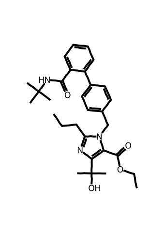 CCCc1nc(C(C)(C)O)c(C(=O)OCC)n1Cc1ccc(-c2ccccc2C(=O)NC(C)(C)C)cc1